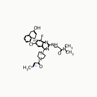 C/C=C/C(=O)N1CCN(c2nc(NCCC(=O)N(C)C)nc3c(F)c([C@H]4C=C(O)Cc5ccccc54)c(Cl)cc23)CC1